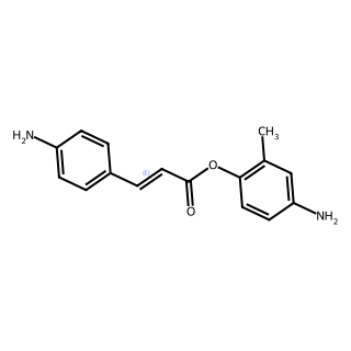 Cc1cc(N)ccc1OC(=O)/C=C/c1ccc(N)cc1